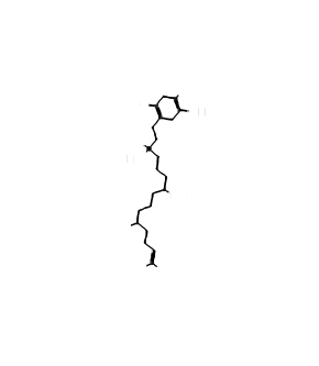 CC(C)=CCCC(C)CCCC(C)CCCC(C)(O)CCC1=C(C)CC(C)=C(C)C1